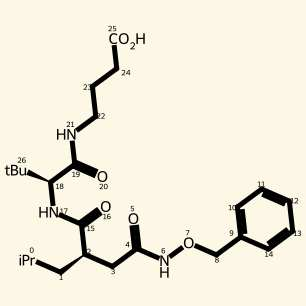 CC(C)C[C@H](CC(=O)NOCc1ccccc1)C(=O)N[C@H](C(=O)NCCCC(=O)O)C(C)(C)C